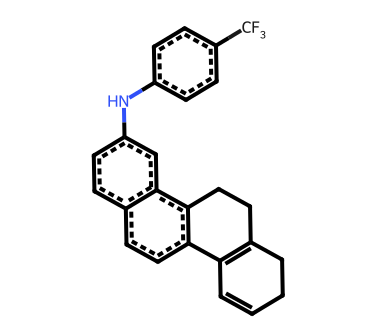 FC(F)(F)c1ccc(Nc2ccc3ccc4c(c3c2)CCC2=C4C=CCC2)cc1